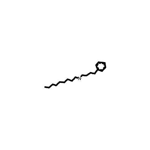 CCCCCCCCC[N]CCCCc1ccccc1